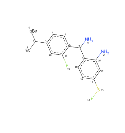 CCCCC(CC)c1ccc(C(N)c2ccc(SF)cc2N)c(F)c1